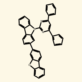 c1ccc(-c2cc(-c3ccccc3)nc(-n3c4ccccc4c4ccc(-c5ccc6c(c5)oc5ccccc56)cc43)n2)cc1